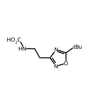 CC(C)(C)c1nc(CCNC(=O)O)no1